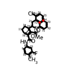 COC(=O)C1=C(C(=O)Nc2ccc(C)c(F)c2)C2CCC1(C(Cc1ccccc1Cl)Nc1ccccc1)O2